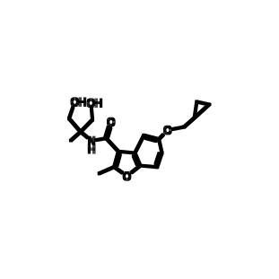 Cc1oc2ccc(OCC3CC3)cc2c1C(=O)NC(C)(CO)CO